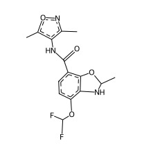 Cc1noc(C)c1NC(=O)c1ccc(OC(F)F)c2c1OC(C)N2